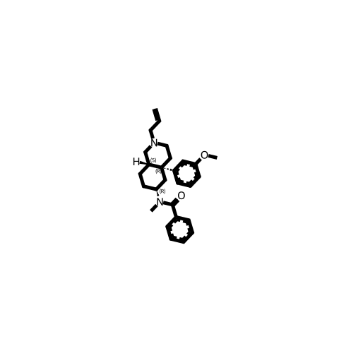 C=CCN1CC[C@@]2(c3cccc(OC)c3)C[C@H](N(C)C(=O)c3ccccc3)CC[C@@H]2C1